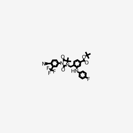 CC(C)(C)OC(=O)c1ccc(CN2C(=O)N(c3ccc(C#N)c(C(F)(F)F)c3)C(=O)C2(C)C)c(Nc2ccc(F)cc2)c1